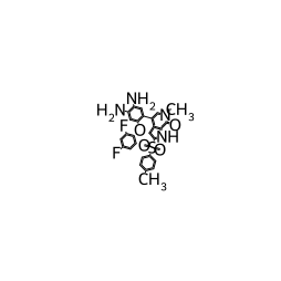 Cc1ccc(S(=O)(=O)c2cc3c(-c4cc(N)c(N)cc4Oc4ccc(F)cc4F)cn(C)c(=O)c3[nH]2)cc1